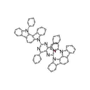 c1ccc(-c2nc(-n3c4ccccc4c4ccc5c6ccccc6n(-c6ccccc6)c5c43)nc3c(-c4ccccc4)nc(-n4c5ccccc5c5c4ccc4c6ccccc6n(-c6ccccc6)c45)nc23)cc1